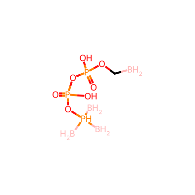 BCOP(=O)(O)OP(=O)(O)O[PH](B)(B)B